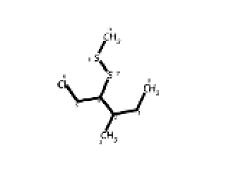 CCC(C)C(CCl)SSC